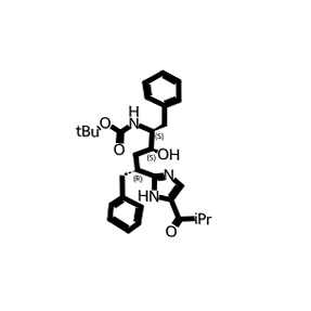 CC(C)C(=O)c1cnc([C@H](Cc2ccccc2)C[C@H](O)[C@H](Cc2ccccc2)NC(=O)OC(C)(C)C)[nH]1